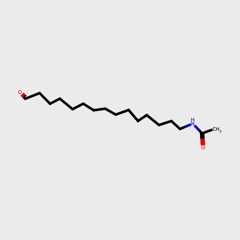 CC(=O)NCCCCCCCCCCCCCCC=O